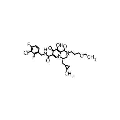 CCOCCCN1C[C@@H](CC2C[C@H]2C)n2cc(C(=O)NCc3ccc(F)c(Cl)c3F)c(=O)c(O)c2C1=O